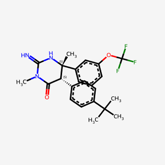 CN1C(=N)N[C@](C)(c2cccc(OC(F)(F)F)c2)[C@H](c2ccc(C(C)(C)C)cc2)C1=O